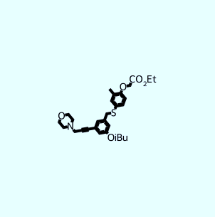 CCOC(=O)COc1ccc(SCc2cc(C#CCN3CCOCC3)cc(OCC(C)C)c2)cc1C